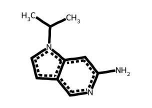 CC(C)n1ccc2cnc(N)cc21